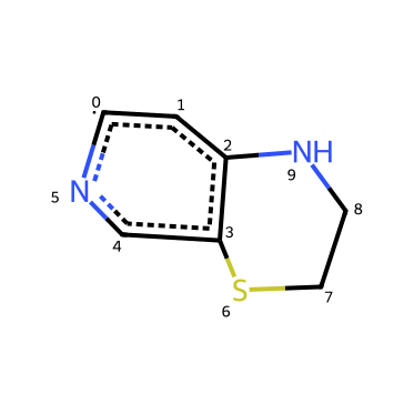 [c]1cc2c(cn1)SCCN2